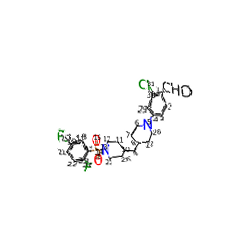 O=Cc1ccc(N2CCC(CC3CCN(S(=O)(=O)c4cc(F)ccc4F)CC3)CC2)cc1Cl